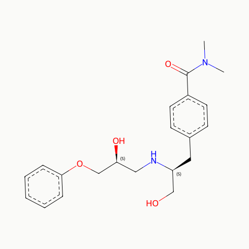 CN(C)C(=O)c1ccc(C[C@@H](CO)NC[C@H](O)COc2ccccc2)cc1